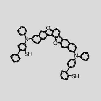 Sc1ccccc1-c1ccc(N(c2ccccc2)c2ccc3cc4c(cc3c2)oc2c4ccc3oc4cc5cc(N(c6ccccc6)c6ccc(-c7ccccc7)c(S)c6)ccc5cc4c32)cc1